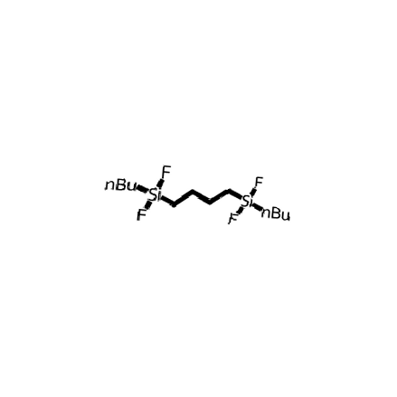 CCCC[Si](F)(F)CCCC[Si](F)(F)CCCC